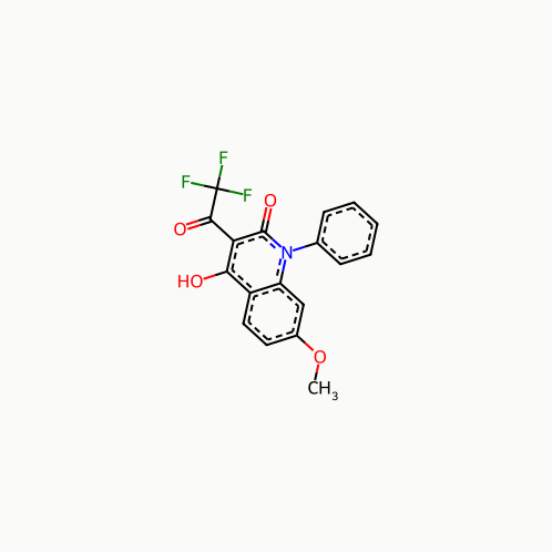 COc1ccc2c(O)c(C(=O)C(F)(F)F)c(=O)n(-c3ccccc3)c2c1